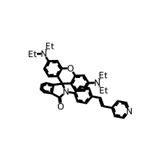 CCN(CC)c1ccc2c(c1)Oc1cc(N(CC)CC)ccc1C21c2ccccc2C(=O)N1c1ccc(/C=C/c2ccncc2)cc1